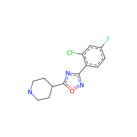 Fc1ccc(-c2noc(C3CC[N]CC3)n2)c(Cl)c1